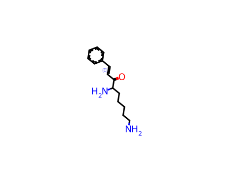 NCCCCCC(N)C(=O)/C=C/c1ccccc1